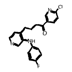 O=C(CCCc1ccncc1Nc1ccc(F)cc1)c1ccc(Cl)nc1